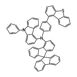 c1ccc(-n2c3ccccc3c3c(N(c4ccc(-c5cccc6sc7ccccc7c56)cc4)c4cccc5c4-c4ccccc4C54c5ccccc5-c5ccccc54)cccc32)cc1